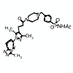 CC(=O)NS(=O)(=O)c1ccc(CN2CCN(C(=O)CCc3c(C)nn(-c4ccc5nnc(C)n5n4)c3C)CC2)cc1